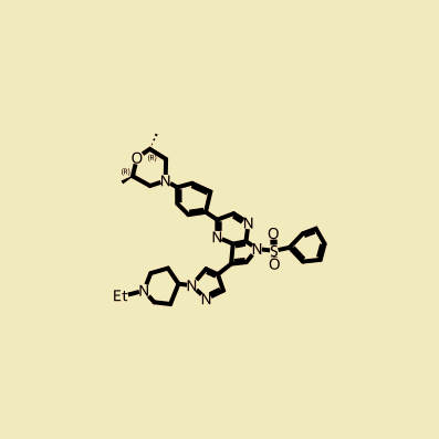 CCN1CCC(n2cc(-c3cn(S(=O)(=O)c4ccccc4)c4ncc(-c5ccc(N6C[C@@H](C)O[C@H](C)C6)cc5)nc34)cn2)CC1